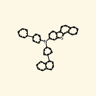 c1ccc(-c2ccc(N(c3ccc(-c4cccc5ccccc45)cc3)c3ccc4c(c3)sc3c5ccccc5ccc43)cc2)cc1